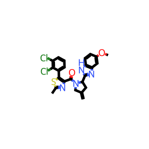 C=C1CC(c2nc3cc(OC)ccc3[nH]2)N(C(=O)c2nc(C)sc2-c2cccc(Cl)c2Cl)C1